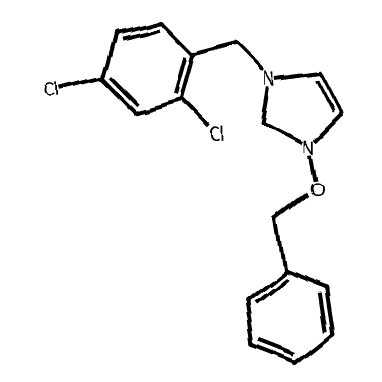 Clc1ccc(CN2C=CN(OCc3ccccc3)C2)c(Cl)c1